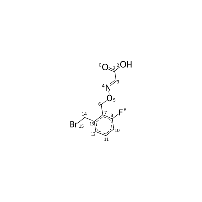 O=C(O)C=NOCc1c(F)cccc1CBr